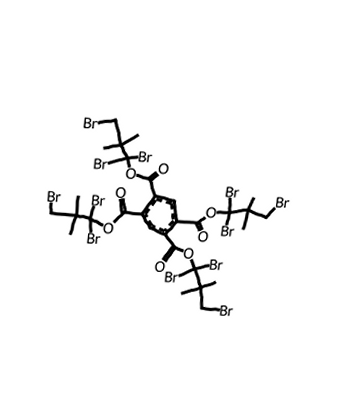 CC(C)(CBr)C(Br)(Br)OC(=O)c1cc(C(=O)OC(Br)(Br)C(C)(C)CBr)c(C(=O)OC(Br)(Br)C(C)(C)CBr)cc1C(=O)OC(Br)(Br)C(C)(C)CBr